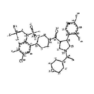 Cc1cc(N(CC(F)(F)F)S(C)(=O)=O)c(C2CCN(C(=O)C3CN(C(C)C4CCOCC4)CC3c3ccc(F)cc3F)CC2)cc1Cl